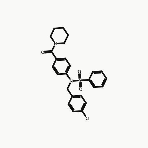 O=C(c1ccc(N(Cc2ccc(Cl)cc2)S(=O)(=O)c2ccccc2)cc1)N1CCCCC1